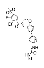 CCNC(=O)CNc1ccc(-c2ccc3c(c2)CN(C(=O)c2ccc(S(C)(=O)=O)c(F)c2CC)CCO3)cn1